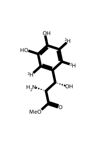 [2H]c1c([2H])c([C@H](O)[C@@H](N)C(=O)OC)c([2H])c(O)c1O